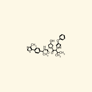 Cc1ncsc1-c1ccc([C@H](C)NC(=O)[C@@H]2C[C@@H](O)CN2C(=O)C(C(C)C)n2cc(Oc3ccccc3)cn2)cc1